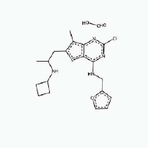 Cc1c(CC(C)NC2CCC2)sc2c(NCc3ccco3)nc(Cl)nc12.O=CO